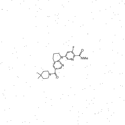 CNC(=O)c1ncc(N2CCCc3cc(C(=O)N4CCC(C)(C)CC4)cnc32)cc1F